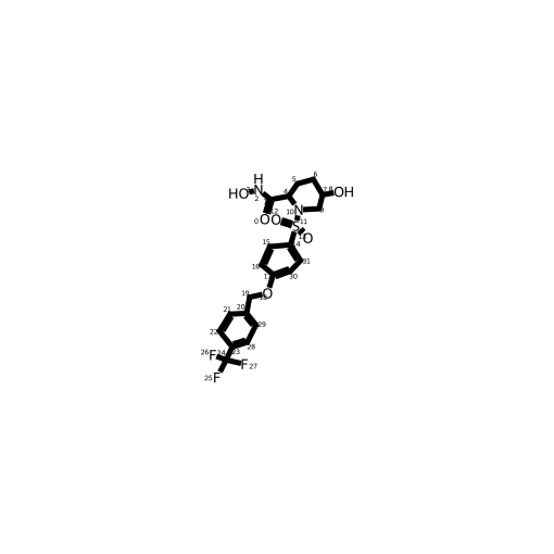 O=C(NO)C1CCC(O)CN1S(=O)(=O)c1ccc(OCc2ccc(C(F)(F)F)cc2)cc1